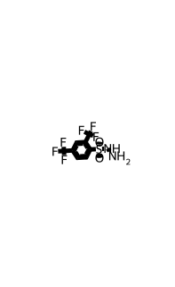 NNS(=O)(=O)c1ccc(C(F)(F)F)cc1C(F)(F)F